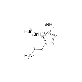 Br.Br.NCCc1csc(N)n1